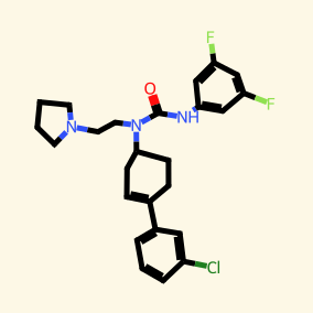 O=C(Nc1cc(F)cc(F)c1)N(CCN1CCCC1)C1CC=C(c2cccc(Cl)c2)CC1